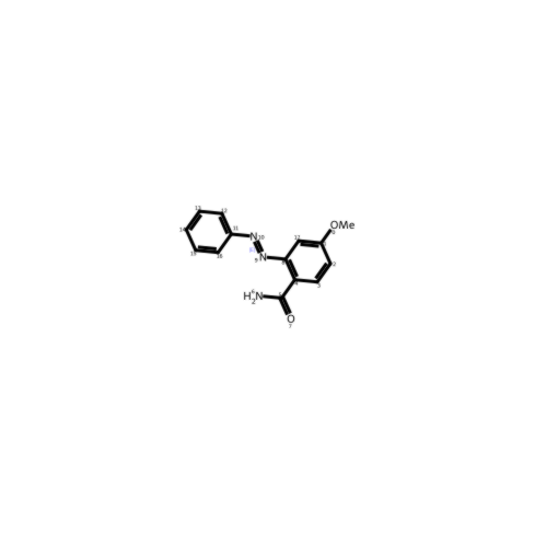 COc1ccc(C(N)=O)c(/N=N/c2ccccc2)c1